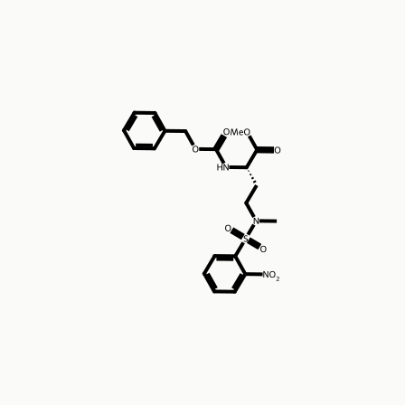 COC(=O)[C@H](CCN(C)S(=O)(=O)c1ccccc1[N+](=O)[O-])NC(=O)OCc1ccccc1